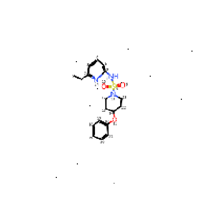 CCc1cccc(NS(=O)(=O)N2CCC(Oc3ccccc3)CC2)n1